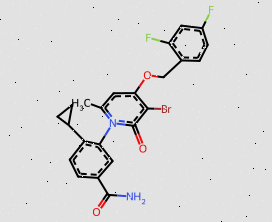 Cc1cc(OCc2ccc(F)cc2F)c(Br)c(=O)n1-c1cc(C(N)=O)ccc1C1CC1